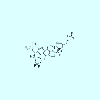 CC1(C)Cc2nc(C3CCN(c4ncc(CCCC(F)(F)F)cn4)CC3)c(C(F)c3ccc(C(F)(F)F)cc3)c(C3CCC(F)(F)CC3)c2C(O)C1